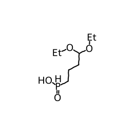 CCOC(CCC[PH](=O)O)OCC